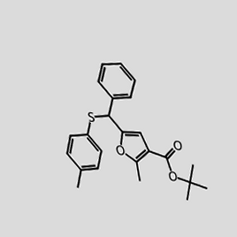 Cc1ccc(SC(c2ccccc2)c2cc(C(=O)OC(C)(C)C)c(C)o2)cc1